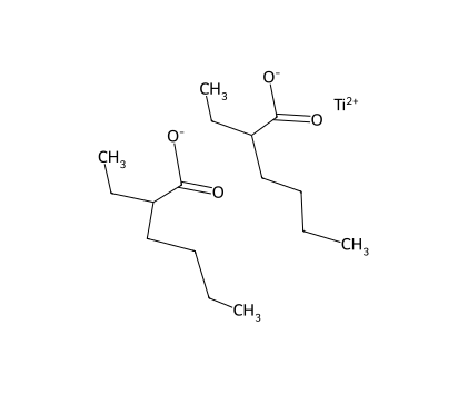 CCCCC(CC)C(=O)[O-].CCCCC(CC)C(=O)[O-].[Ti+2]